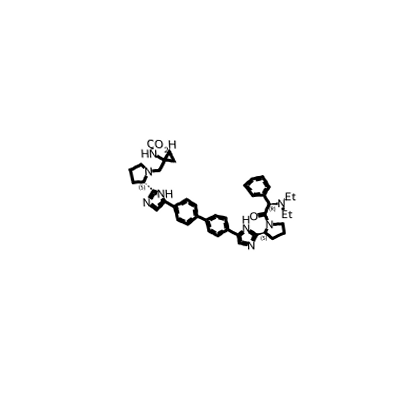 CCN(CC)[C@@H](C(=O)N1CCC[C@H]1c1ncc(-c2ccc(-c3ccc(-c4cnc([C@@H]5CCCN5CC5(NC(=O)O)CC5)[nH]4)cc3)cc2)[nH]1)c1ccccc1